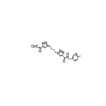 Cc1ccc(CNC(=O)c2cn(CCCCn3cc(NC=O)nn3)nn2)cn1